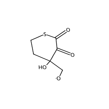 [O]CC1(O)CCSC(=O)C1=O